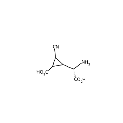 N#CC1C(C(=O)O)C1[C@H](N)C(=O)O